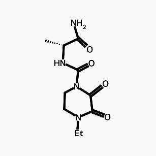 CCN1CCN(C(=O)N[C@H](C)C(N)=O)C(=O)C1=O